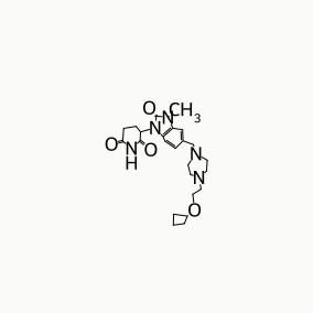 Cn1c(=O)n(C2CCC(=O)NC2=O)c2ccc(CN3CCN(CCOC4CCC4)CC3)cc21